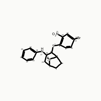 CN1C2CCC1C(Sc1ccc(Br)cc1[N+](=O)[O-])C(Nc1ccccc1)C2